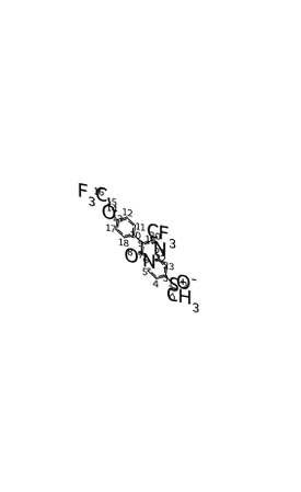 C[S@@+]([O-])c1ccn2c(=O)c(-c3ccc(OCC(F)(F)F)cc3)c(C(F)(F)F)nc2c1